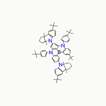 CC(C)(C)c1ccc(N2c3ccc(N4c5ccc(C(C)(C)C)cc5C5(C)CCCCC45C)cc3B3c4cc(C(C)(C)C)ccc4N(c4ccc(C(C)(C)C)cc4)c4cc(N5c6ccc(C(C)(C)C)cc6C6(C)CCCC56C)cc2c43)cc1